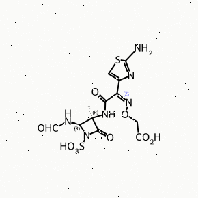 C[C@]1(NC(=O)/C(=N\OCC(=O)O)c2csc(N)n2)C(=O)N(S(=O)(=O)O)[C@H]1NC=O